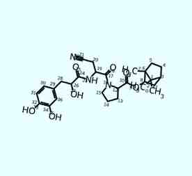 CC1(C)C2CCC1(C)C(OC(=O)C1CCCN1C(=O)C(CC#N)NC(=O)C(O)Cc1ccc(O)c(O)c1)C2